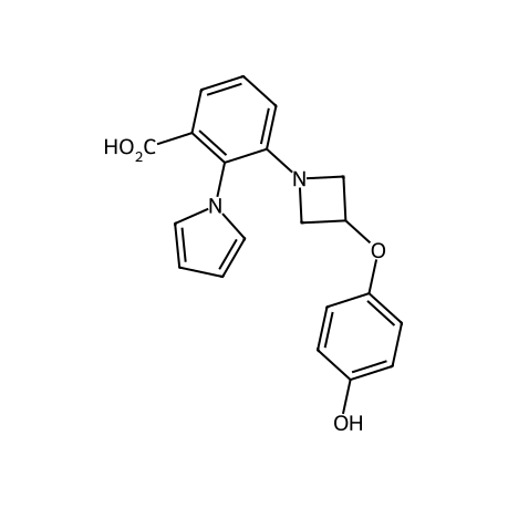 O=C(O)c1cccc(N2CC(Oc3ccc(O)cc3)C2)c1-n1cccc1